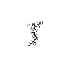 COC(=O)c1coc(-c2coc(C(N)CO)n2)n1